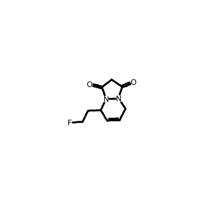 O=C1CC(=O)N2C(CCF)C=CCN12